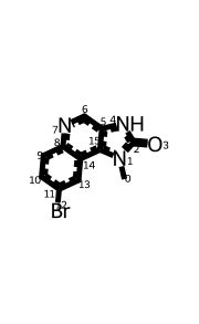 Cn1c(=O)[nH]c2cnc3ccc(Br)cc3c21